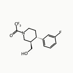 O=C(N1CC[C@H](c2cccc(F)c2)[C@@H](CO)C1)C(F)(F)F